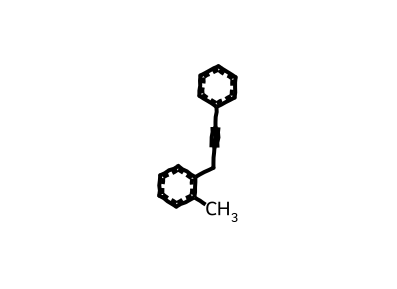 Cc1ccccc1CC#Cc1ccccc1